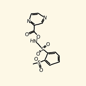 CS(=O)(=O)c1ccccc1S(=O)(=O)NOC(=O)c1cnccn1